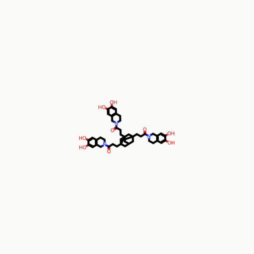 O=C(CCC12CC3CC(CCC(=O)N4CCc5cc(O)c(O)cc5C4)(C1)CC(CCC(=O)N1CCc4cc(O)c(O)cc4C1)(C3)C2)N1CCc2cc(O)c(O)cc2C1